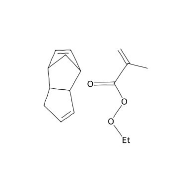 C1=CC2C3C=CC(C3)C2C1.C=C(C)C(=O)OOCC